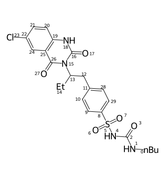 CCCCNC(=O)NS(=O)(=O)c1ccc(CC(CC)n2c(=O)[nH]c3ccc(Cl)cc3c2=O)cc1